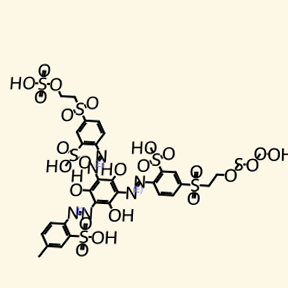 Cc1ccc(/N=N/c2c(O)c(/N=N/c3ccc(S(=O)(=O)CCOSOOO)cc3S(=O)(=O)O)c(O)c(/N=N/c3ccc(S(=O)(=O)CCOS(=O)(=O)O)cc3S(=O)(=O)O)c2O)c(S(=O)(=O)O)c1